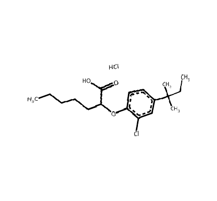 CCCCCC(Oc1ccc(C(C)(C)CC)cc1Cl)C(=O)O.Cl